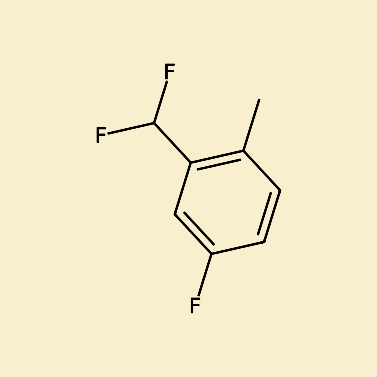 Cc1ccc(F)cc1C(F)F